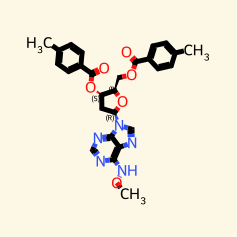 CONc1ncnc2c1ncn2[C@H]1C[C@H](OC(=O)c2ccc(C)cc2)[C@@H](COC(=O)c2ccc(C)cc2)O1